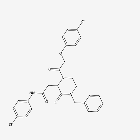 O=C(CC1C(=O)N(Cc2ccccc2)CCN1C(=O)COc1ccc(Cl)cc1)Nc1ccc(Cl)cc1